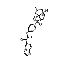 CN1C[C@@H]2CCN(S(=O)(=O)c3ccc(CNC(=O)c4ccc5nccn5c4)cc3)[C@@H]2C1